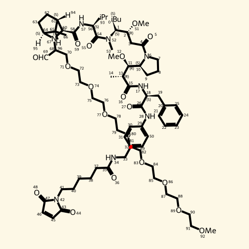 CC[C@H](C)[C@@H]([C@@H](CC(=O)N1CCC[C@H]1[C@H](OC)[C@@H](C)C(=O)N[C@@H](Cc1ccccc1)C(=O)Nc1ccc(CNC(=O)CCCCCN2C(=O)C=CC2=O)cc1)OC)N(C)C(=O)[C@@H](NC(=O)[C@@H]1[C@H]2CC[C@@H]([C@H]2C)N1C(C=O)COCCOCCOCCOCCOCCOCCOCCOC)C(C)C